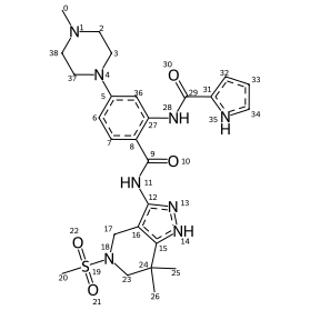 CN1CCN(c2ccc(C(=O)Nc3n[nH]c4c3CN(S(C)(=O)=O)CC4(C)C)c(NC(=O)c3ccc[nH]3)c2)CC1